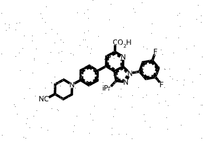 CC(C)c1nn(-c2cc(F)cc(F)c2)c2nc(C(=O)O)cc(-c3ccc(N4CCC(C#N)CC4)cc3)c12